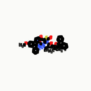 CC[C@H](O[Si](c1ccccc1)(c1ccccc1)C(C)(C)C)[C@@H]1C[C@@H]([C@@H](C)N)[C@H](n2c(=O)sc3c(=O)[nH]c(NC(c4ccccc4)(c4ccccc4)c4ccc(OC)cc4)nc32)O1